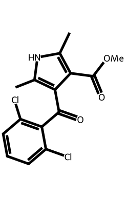 COC(=O)c1c(C)[nH]c(C)c1C(=O)c1c(Cl)cccc1Cl